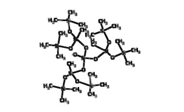 C[Si](C)(C)O[Si](C)(O[Si](C)(C)C)O[Si]([O])(O[Si](C)(O[Si](C)(C)C)O[Si](C)(C)C)O[Si](C)(O[Si](C)(C)C)O[Si](C)(C)C